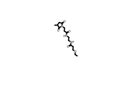 CCOCCC(=O)NCCNC(=O)CCN1C(=O)CC(C)C1=O